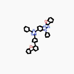 c1ccc(-c2nc(-c3ccc(-c4cccc5c4oc4ccccc45)cc3)nc(-c3ccc4c(c3)n(-c3ccccc3)c3nc5c6ccccc6oc5n43)n2)cc1